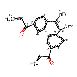 C=CC(=O)c1ccc(C(CCC)=C(CCC)c2ccc(C(=O)C=C)cc2)cc1